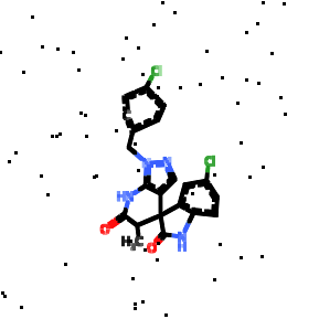 CC1C(=O)Nc2c(cnn2Cc2ccc(Cl)cc2)C12C(=O)Nc1ccc(Cl)cc12